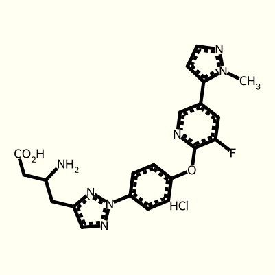 Cl.Cn1nccc1-c1cnc(Oc2ccc(-n3ncc(CC(N)CC(=O)O)n3)cc2)c(F)c1